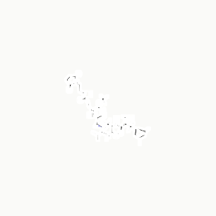 CN[C@H](C(=O)NC(C(=O)N(C)[C@H](/C=C(\C)C(=O)N[C@H](CCC(=O)NCCN1C(=O)C=CC1=O)C(=O)OC(C)(C)C)C(C)C)C(C)(C)C)C(C)(C)c1cc(C)cc(C)c1